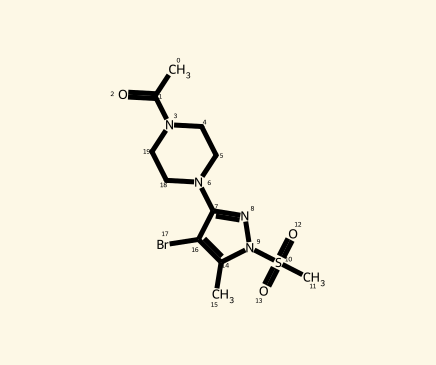 CC(=O)N1CCN(c2nn(S(C)(=O)=O)c(C)c2Br)CC1